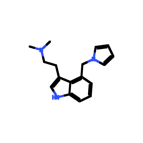 CN(C)CCc1c[nH]c2cccc(Cn3cccc3)c12